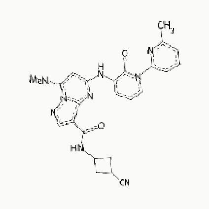 CNc1cc(Nc2cccn(-c3cccc(C)n3)c2=O)nc2c(C(=O)NC3CC(C#N)C3)cnn12